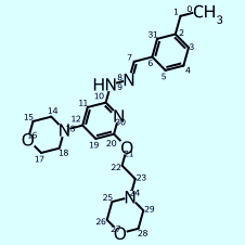 CCc1cccc(/C=N/Nc2cc(N3CCOCC3)cc(OCCN3CCOCC3)n2)c1